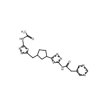 CC(=O)Nc1nnc(CC2CCC(c3nnc(NC(=O)Cc4cncnc4)s3)C2)s1